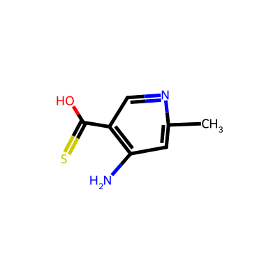 Cc1cc(N)c(C(O)=S)cn1